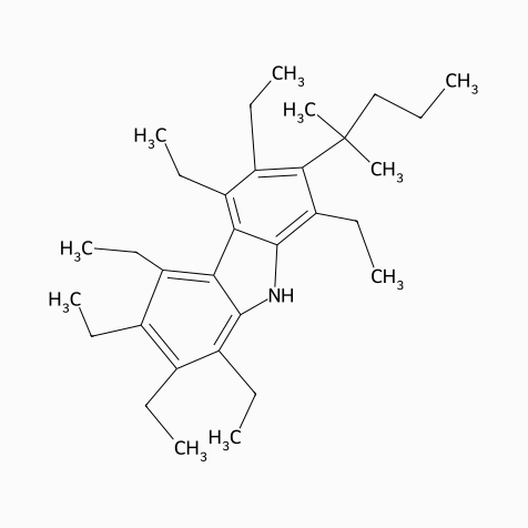 CCCC(C)(C)c1c(CC)c(CC)c2c([nH]c3c(CC)c(CC)c(CC)c(CC)c32)c1CC